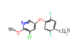 CC(C)(C)Oc1ncc(Oc2cc(F)c(C(=O)O)cc2F)cc1Cl